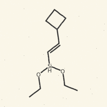 CCO[SiH](C=CC1CCC1)OCC